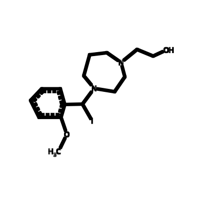 COc1ccccc1C(I)N1CCCN(CCO)CC1